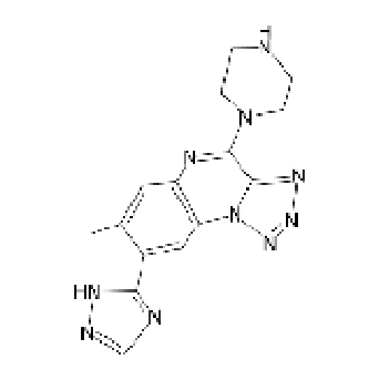 Cc1cc2nc(N3CCNCC3)c3nnnn3c2cc1-c1ncn[nH]1